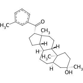 Cc1cccc(C(=O)[C@H]2CC[C@H]3[C@@H]4CC[C@@H]5C[C@](C)(O)CC[C@]5(C)[C@H]4CC[C@]23C)c1